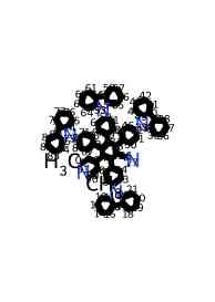 Cc1cc(-c2c(-c3ccc(-n4c5ccccc5c5ccccc54)cc3)c(C#N)c(-c3ccc(-n4c5ccccc5c5ccccc54)cc3)c(-c3ccc(-n4c5ccccc5c5ccccc54)cc3)c2-c2ccc(-n3c4ccccc4c4ccccc43)cc2)cc(C)n1